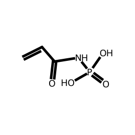 C=CC(=O)NP(=O)(O)O